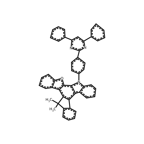 CC1(C)c2ccccc2-c2c1c1c3ccccc3oc1c1c2c2ccccc2n1-c1ccc(-c2nc(-c3ccccc3)cc(-c3ccccc3)n2)cc1